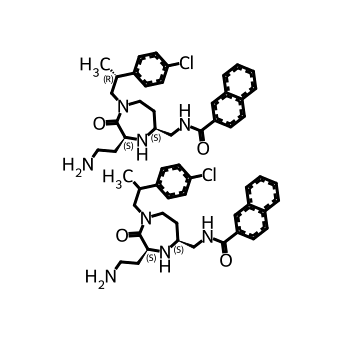 CC(CN1CC[C@@H](CNC(=O)c2ccc3ccccc3c2)N[C@@H](CCN)C1=O)c1ccc(Cl)cc1.C[C@@H](CN1CC[C@@H](CNC(=O)c2ccc3ccccc3c2)N[C@@H](CCN)C1=O)c1ccc(Cl)cc1